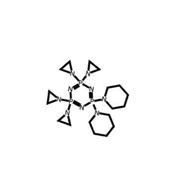 C1CCN(P2(N3CCCCC3)=NP(N3CC3)(N3CC3)=NP(N3CC3)(N3CC3)=N2)CC1